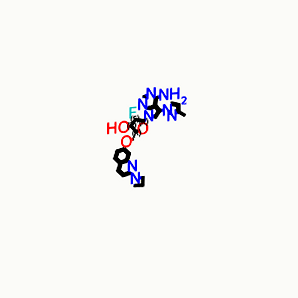 Cc1ccn(-c2cn([C@@H]3O[C@H](COc4ccc5ccc(N6CCC6)nc5c4)[C@@H](O)[C@@H]3F)c3ncnc(N)c23)n1